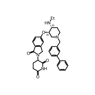 CCN[C@@H]1CCN(Cc2cccc(-c3ccccc3)c2)C[C@H]1Oc1ccc2c(c1)CN(C1CCC(=O)NC1=O)C2=O